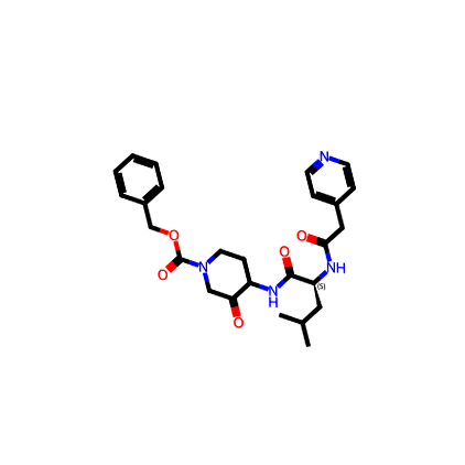 CC(C)C[C@H](NC(=O)Cc1ccncc1)C(=O)NC1CCN(C(=O)OCc2ccccc2)CC1=O